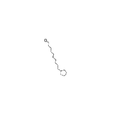 O=CCCCCCCCCCC1CCCC1